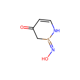 O=C1C=CNS(=NO)C1